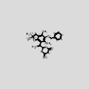 C=C(c1c(C)c(OCc2ccccc2)c(C)c2c1OC(C)(C)C2)C1CC(O)CC(=O)O1